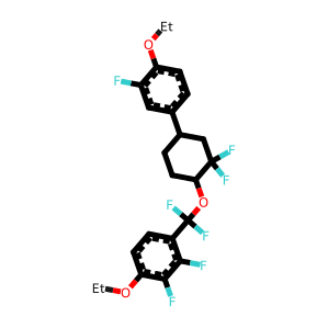 CCOc1ccc(C2CCC(OC(F)(F)c3ccc(OCC)c(F)c3F)C(F)(F)C2)cc1F